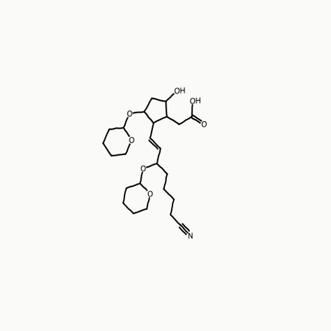 N#CCCCCC(C=CC1C(OC2CCCCO2)CC(O)C1CC(=O)O)OC1CCCCO1